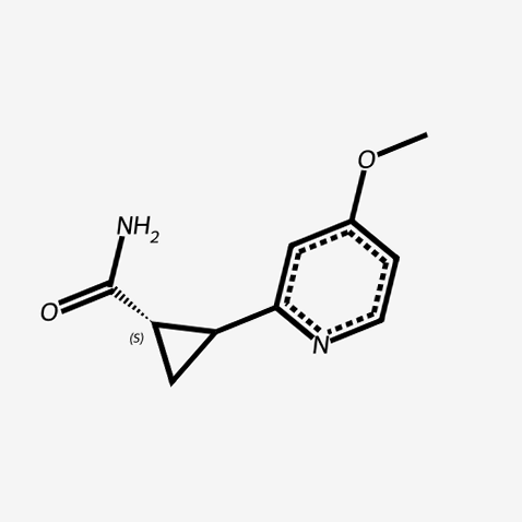 COc1ccnc(C2C[C@@H]2C(N)=O)c1